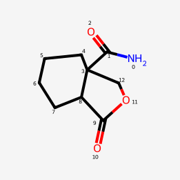 NC(=O)C12CCCCC1C(=O)OC2